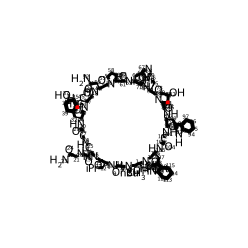 CCCCC[C@H]1C(=O)N(C)[C@@H](CCCC)C(=O)N[C@@H](CC(C)C)C(=O)N[C@H](C(=O)NCC(N)=O)CNCC(=O)N[C@@H](Cc2ccc(O)cc2)C(=O)N(C)[C@@H](C)C(=O)N[C@@H](CC(N)=O)C(=O)N2CCC[C@H]2C(=O)N[C@@H](Cc2cnc[nH]2)C(=O)N[C@@H](CC(C)C)C(=O)N2C[C@H](O)C[C@H]2C(=O)N[C@@H](Cc2c[nH]c3ccccc23)C(=O)NCC(=O)N[C@@H](Cc2c[nH]c3ccccc23)C(=O)N1C